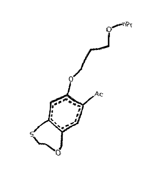 CCCOCCCOc1cc2c(cc1C(C)=O)OCS2